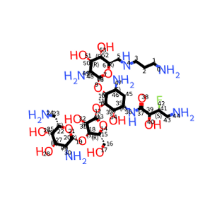 NCCCNC[C@H]1O[C@H](O[C@H]2[C@H](O[C@@H]3O[C@H](CO)[C@@H](O[C@H]4O[C@@H](CN)[C@@H](O)[C@H](O)[C@H]4N)[C@H]3O)[C@@H](O)[C@H](NC(=O)C(O)[C@@H](F)CN)C[C@@H]2N)[C@H](N)[C@@H](O)[C@@H]1O